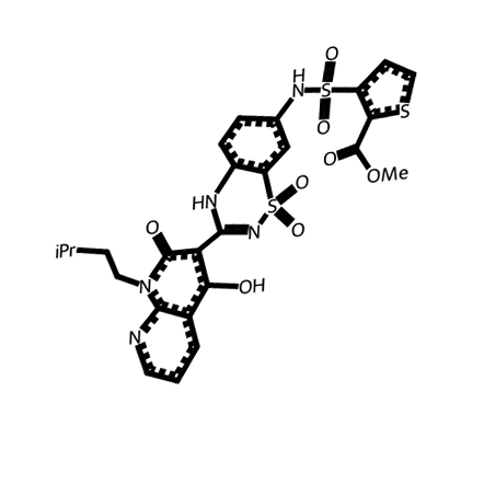 COC(=O)c1sccc1S(=O)(=O)Nc1ccc2c(c1)S(=O)(=O)N=C(c1c(O)c3cccnc3n(CCC(C)C)c1=O)N2